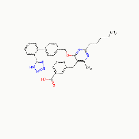 CCCCCc1nc(C)c(Cc2cccc(C(=O)O)c2)c(OCc2ccc(-c3ccccc3-c3nnn[nH]3)cc2)n1